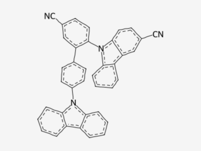 N#Cc1ccc(-n2c3ccccc3c3cc(C#N)ccc32)c(-c2ccc(-n3c4ccccc4c4ccccc43)cc2)c1